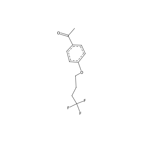 CC(=O)c1ccc(OCCCC(F)(F)F)cc1